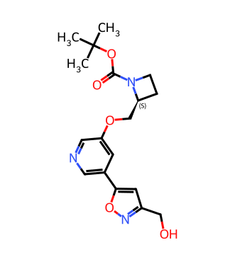 CC(C)(C)OC(=O)N1CC[C@H]1COc1cncc(-c2cc(CO)no2)c1